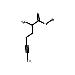 CC#CCCC(C)C(=O)OCC